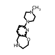 CN1CCN(c2ccc3c(n2)OCCNC3)CC1